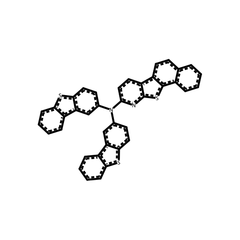 c1ccc2c(c1)ccc1c3ccc(N(c4ccc5sc6ccccc6c5c4)c4ccc5sc6ccccc6c5c4)nc3sc21